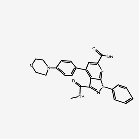 CNC(=O)c1nn(-c2ccccc2)c2nc(C(=O)O)cc(-c3ccc(N4CCOCC4)cc3)c12